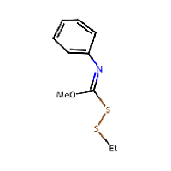 CCSS/C(=N/c1ccccc1)OC